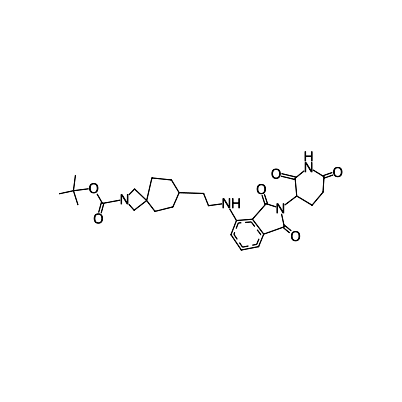 CC(C)(C)OC(=O)N1CC2(CCC(CCNc3cccc4c3C(=O)N(C3CCC(=O)NC3=O)C4=O)CC2)C1